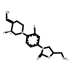 N#CC=C1CCN(c2ccc(N3CC(CN)OC3=O)cc2F)C[C@H]1F